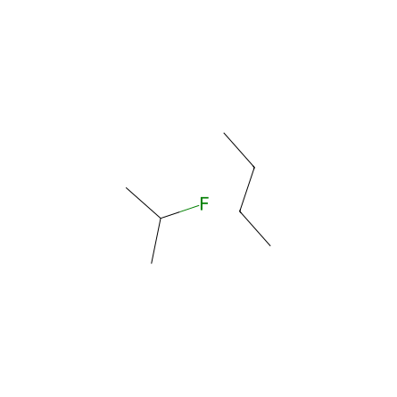 CC(C)F.CCCC